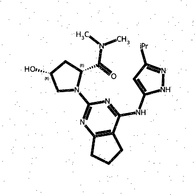 CC(C)c1cc(Nc2nc(N3C[C@H](O)C[C@@H]3C(=O)N(C)C)nc3c2CCC3)[nH]n1